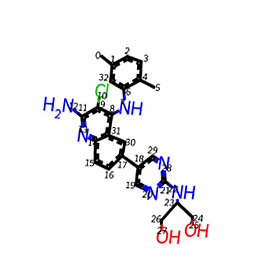 Cc1ccc(C)c(Nc2c(Cl)c(N)nc3ccc(-c4cnc(NC(CO)CO)nc4)cc23)c1